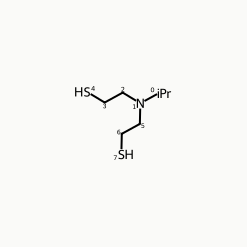 CC(C)N(CCS)CCS